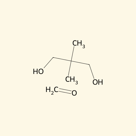 C=O.CC(C)(CO)CO